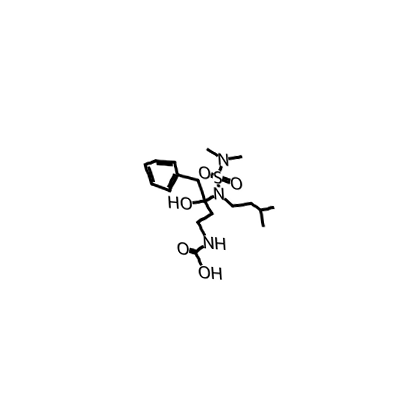 CC(C)CCN(C(O)(CCNC(=O)O)Cc1ccccc1)S(=O)(=O)N(C)C